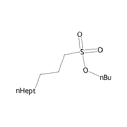 CCCCCCCCCCS(=O)(=O)OCCCC